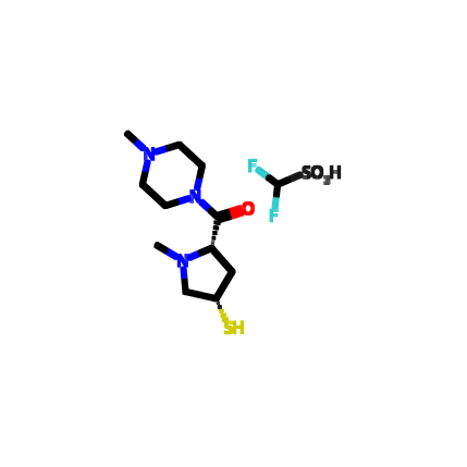 CN1CCN(C(=O)[C@@H]2C[C@H](S)CN2C)CC1.O=S(=O)(O)C(F)F